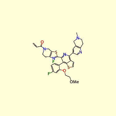 C=CC(=O)N1CCc2nc(-c3nc(-c4cnc5c(c4)CN(C)CC5)c4ccsc4c3-c3c(F)cc(F)cc3OCCOC)sc2C1